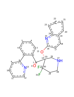 O=C(c1ccccc1-c1ccccn1)[C@@]1(Oc2ccc3ccccc3n2)CNCCC1(F)F